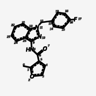 Cc1occc1C(=O)Nc1nn(Cc2ccc(F)cc2)c2ccccc12